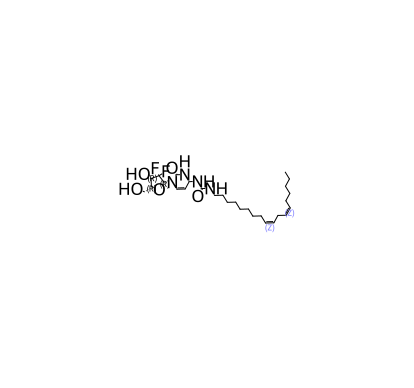 CCCCC/C=C\C/C=C\CCCCCCCCNC(=O)NC1C=CN([C@@H]2O[C@H](CO)[C@@H](O)C2(F)F)C(=O)N1